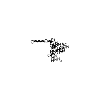 CCC(C)(CCOCCCCCCCl)NC(=O)C(CSc1nc2c(=O)[nH]c(N)nc2n1C1OC2COC(O)OC2C1O)NC(C)=O